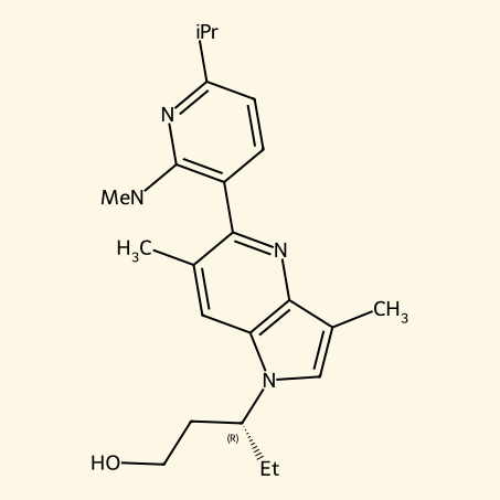 CC[C@H](CCO)n1cc(C)c2nc(-c3ccc(C(C)C)nc3NC)c(C)cc21